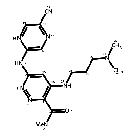 CNC(=O)c1nnc(Nc2cnc(C#N)cn2)cc1NCCCN(C)C